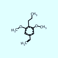 C=Cc1cc(OC)c(CCC)c(OC)c1